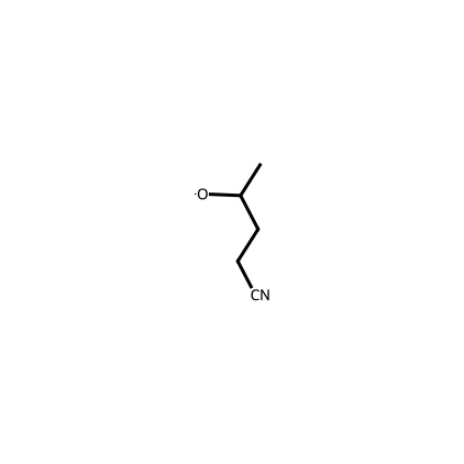 CC([O])CCC#N